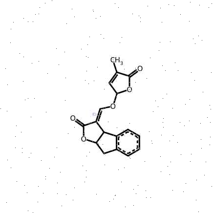 CC1=CC(O/C=C2/C(=O)OC3Cc4ccccc4C23)OC1=O